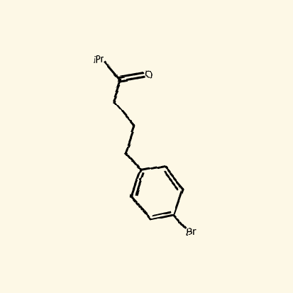 CC(C)C(=O)CCCc1ccc(Br)cc1